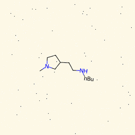 CCCCNCCC1CCN(C)C1